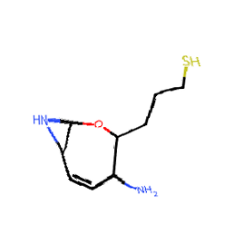 NC1C=CC2NC2OC1CCCS